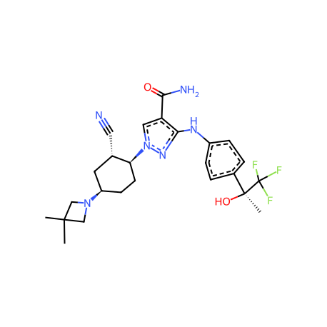 CC1(C)CN([C@@H]2CC[C@H](n3cc(C(N)=O)c(Nc4ccc([C@](C)(O)C(F)(F)F)cc4)n3)[C@@H](C#N)C2)C1